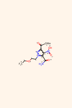 COC(=O)c1nn(CCOCC(F)(F)F)c(C(N)=O)c1[N+](=O)O